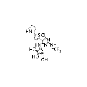 OC[C@H]1C[C@@H](Nc2nc(NCC(F)(F)F)nc(Cl)c2-c2ccc(C3CCCCN3)s2)[C@H](O)[C@@H]1O